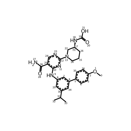 COc1ccc(-c2cc(Nc3nc(N4CCC[C@H](NC(=O)O)C4)ncc3C(N)=O)cc(C(C)C)c2)cc1